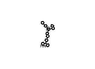 C1=CC2=C(c3ccc(-c4ccc5cc(-c6cc(-c7cccc8ccccc78)nc(-c7ccc(-c8ccccc8)cc7)n6)ccc5c4)cc3)c3ccccc3NC2C=C1